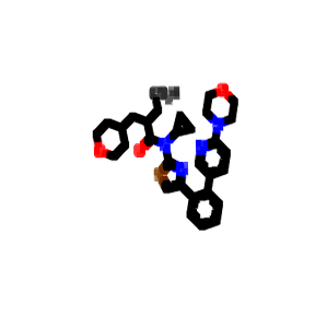 O=C(O)CC(CC1CCOCC1)C(=O)N(c1nc(-c2ccccc2-c2ccc(N3CCOCC3)nc2)cs1)C1CC1